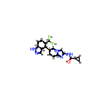 O=C(Nc1cn2cc(-c3c(C(F)F)ccc4[nH]ncc34)ccc2n1)C1CC1